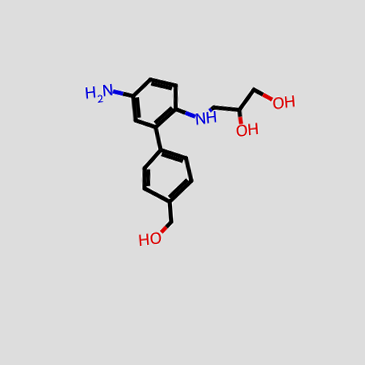 Nc1ccc(NCC(O)CO)c(-c2ccc(CO)cc2)c1